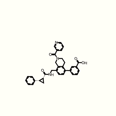 O=C(O)c1cccc(-c2ccc(CNC(=O)[C@@H]3C[C@@H]3c3ccccc3)c3c2CCN(C(=O)c2cccnc2)C3)c1